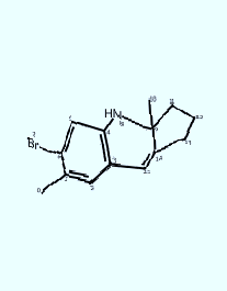 Cc1cc2c(cc1Br)NC1(C)CCCC1=C2